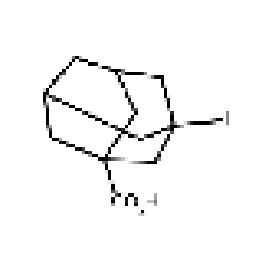 O=C(O)C12CC3CC(CC(I)(C3)C1)C2